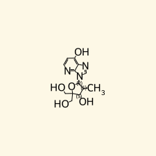 C[C@@H]1[C@H](n2cnc3c(O)ccnc32)OC(CO)(CO)[C@H]1O